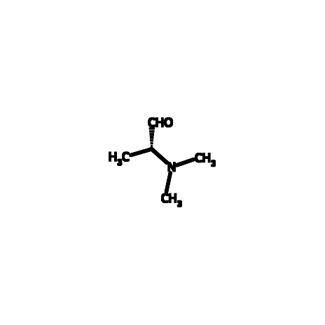 C[C@H](C=O)N(C)C